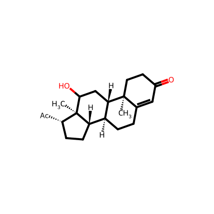 CC(=O)[C@H]1CC[C@H]2[C@@H]3CCC4=CC(=O)CC[C@]4(C)[C@H]3CC(O)[C@]12C